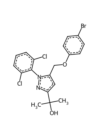 CC(C)(O)c1cc(COc2ccc(Br)cc2)n(-c2c(Cl)cccc2Cl)n1